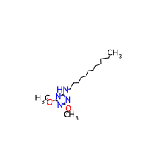 CCCCCCCCCCCCNc1nc(OC)nc(OC)n1